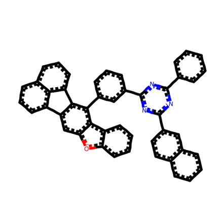 c1ccc(-c2nc(-c3cccc(-c4c5c(cc6oc7ccccc7c46)-c4cccc6cccc-5c46)c3)nc(-c3ccc4ccccc4c3)n2)cc1